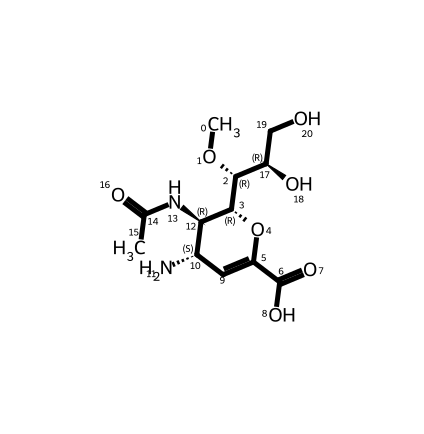 CO[C@@H]([C@@H]1OC(C(=O)O)=C[C@H](N)[C@H]1NC(C)=O)[C@H](O)CO